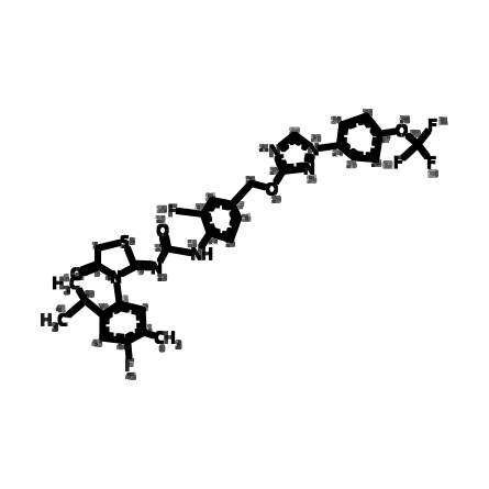 Cc1cc(N2C(=O)CSC2=NC(=O)Nc2ccc(COc3ncn(-c4ccc(OC(F)(F)F)cc4)n3)cc2F)c(C(C)C)cc1F